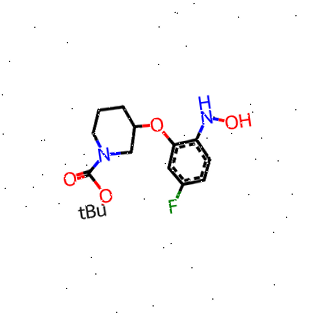 CC(C)(C)OC(=O)N1CCCC(Oc2cc(F)ccc2NO)C1